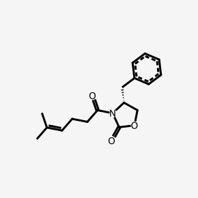 CC(C)=CCCC(=O)N1C(=O)OC[C@H]1Cc1ccccc1